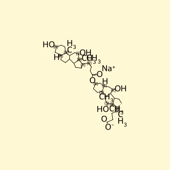 C[C@H](CCC(=O)O[C@@H]1CC[C@]2(C)C3C[C@H](O)[C@@]4(C)C(CC[C@@H]4[C@H](C)CCC(=O)[O-])C3[C@H](O)C[C@@H]2C1)[C@H]1CCC2C3CC[C@@H]4C[C@H](O)CC[C@]4(C)C3C[C@H](O)[C@@]21C.[Na+]